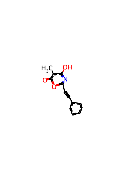 Cc1c(O)nc(C#Cc2ccccc2)oc1=O